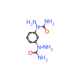 NC(=O)N(N)c1cccc(N(N)C(N)=O)c1